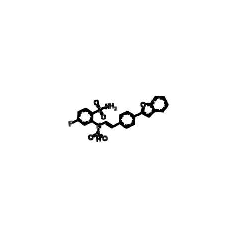 NS(=O)(=O)c1ccc(F)cc1N(C=Cc1ccc(-c2cc3ccccc3o2)cc1)[SH](=O)=O